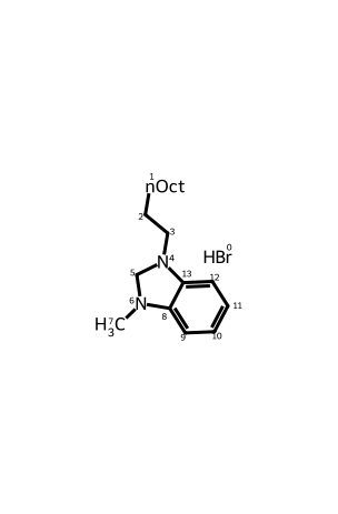 Br.CCCCCCCCCCN1CN(C)c2ccccc21